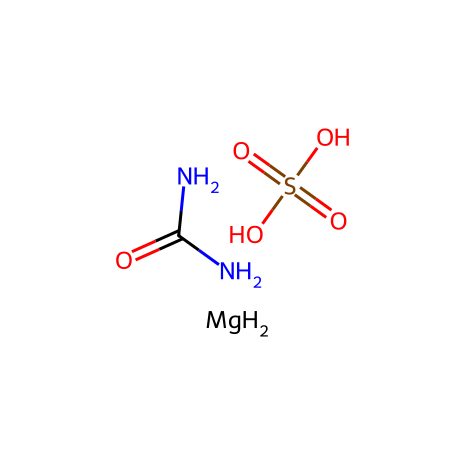 NC(N)=O.O=S(=O)(O)O.[MgH2]